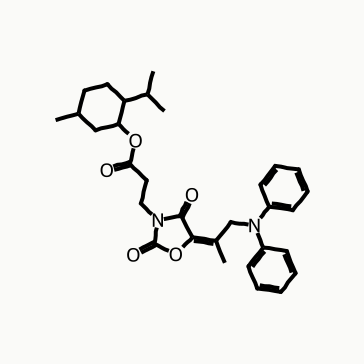 C/C(CN(c1ccccc1)c1ccccc1)=C1\OC(=O)N(CCC(=O)OC2CC(C)CCC2C(C)C)C1=O